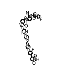 N#Cc1c(NS(=O)(=O)N2CC[C@@H](F)C2)ccc(F)c1Oc1ccc2ncn(-c3cnc(N4CCN(CCN5CCN(c6ccc(C7CCC(=O)NC7=O)cc6F)CC5)CC4)nc3)c(=O)c2c1